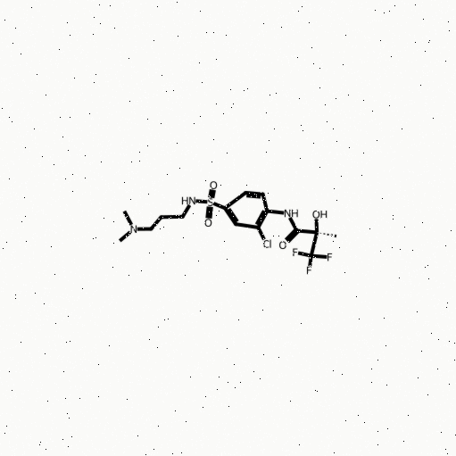 CN(C)CCCNS(=O)(=O)c1ccc(NC(=O)[C@@](C)(O)C(F)(F)F)c(Cl)c1